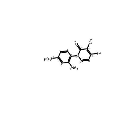 Nc1cc(S(=O)(=O)O)ccc1-n1ncc(F)c(Cl)c1=O